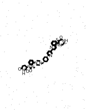 C[C@@H]1CNc2c(sc3ccc4nc(-c5ccc([C@H]6CC[C@H](CN7CCN(c8cccc9c8n(C)c(=O)n9C8CCC(=O)NC8=O)CC7)CC6)nc5)ccc4c23)C(=O)N1